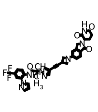 CC(C)(C(=O)Nc1ccc(C(F)(F)F)cc1-n1cccn1)n1cc(C#CC2CN(c3ccc4c(c3)CN(C3CCC(=O)NC3=O)C4=O)C2)cn1